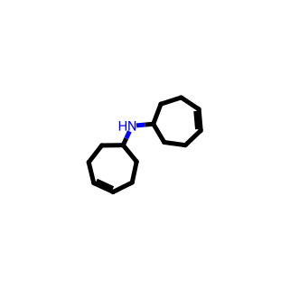 C1=CCCC(NC2CCC=CCC2)CC1